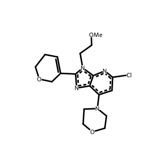 COCCn1c(C2=CCCOC2)nc2c(N3CCOCC3)cc(Cl)nc21